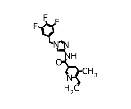 C=Cc1ncc(C(=O)Nc2cn(Cc3cc(F)c(F)c(F)c3)cn2)cc1C